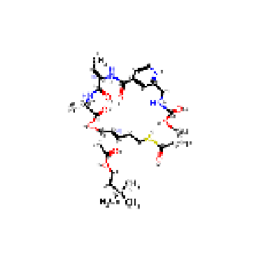 C/C=C(\NC(=O)c1ccnc(CNC(=O)OC(C)(C)C)c1)C(=O)N[C@H](C(=O)O[C@H](/C=C/CCSC(=O)CCCCCCC)CC(=O)OCC[Si](C)(C)C)C(C)C